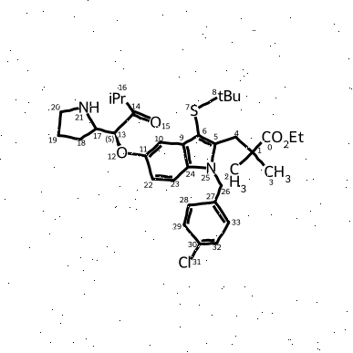 CCOC(=O)C(C)(C)Cc1c(SC(C)(C)C)c2cc(O[C@H](C(=O)C(C)C)C3CCCN3)ccc2n1Cc1ccc(Cl)cc1